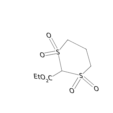 CCOC(=O)C1S(=O)(=O)CCCS1(=O)=O